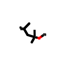 CCO[Si](C)(C)C[SiH](C)C